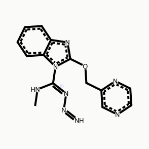 CN/C(=N\N=N)n1c(OCc2cnccn2)nc2ccccc21